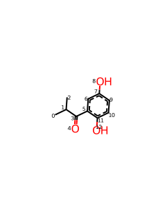 CC(C)C(=O)c1cc(O)ccc1O